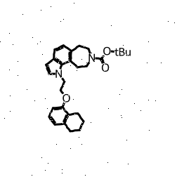 CC(C)(C)OC(=O)N1CCc2ccc3ccn(CCOc4cccc5c4CCCC5)c3c2CC1